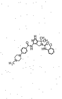 CN1CCN(c2ccc(C(=O)Nc3n[nH]c4c3CN(C(=O)Nc3ccccc3Cl)C4(C)C)cc2)CC1